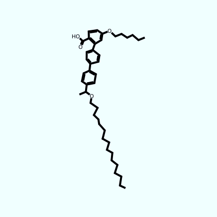 CCCCCCCCCCCCCCCCOC(C)c1ccc(-c2ccc(-c3cc(OCCCCCC)ccc3C(=O)O)cc2)cc1